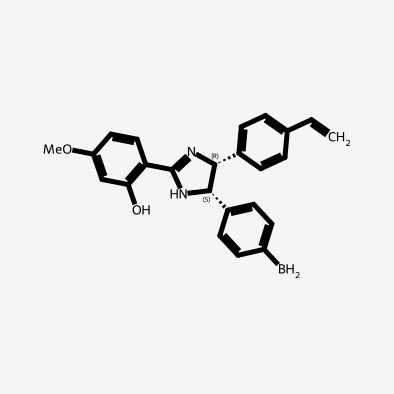 Bc1ccc([C@@H]2NC(c3ccc(OC)cc3O)=N[C@@H]2c2ccc(C=C)cc2)cc1